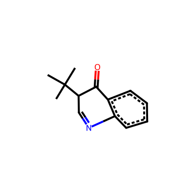 CC(C)(C)C1C=Nc2ccccc2C1=O